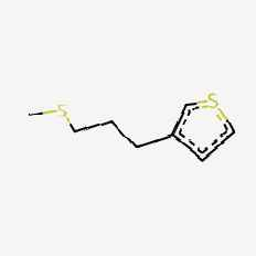 CSCCCc1ccsc1